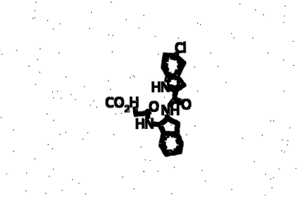 O=C(O)CC(=O)NC1c2ccccc2CC1NC(=O)c1cc2cc(Cl)ccc2[nH]1